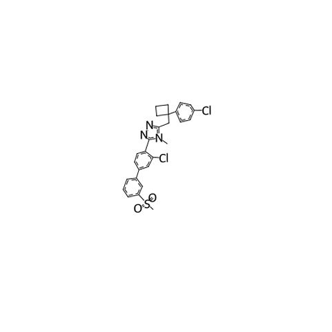 Cn1c(CC2(c3ccc(Cl)cc3)CCC2)nnc1-c1ccc(-c2cccc(S(C)(=O)=O)c2)cc1Cl